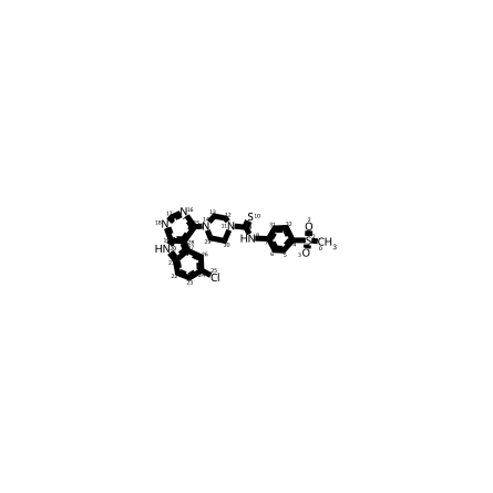 CS(=O)(=O)c1ccc(NC(=S)N2CCN(c3ncnc4[nH]c5ccc(Cl)cc5c34)CC2)cc1